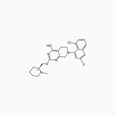 CN1CCCC[C@H]1COc1nc(O)c2c(n1)CN(c1cc(F)cc3cccc(Cl)c13)CC2